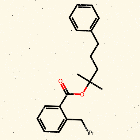 CC(C)Cc1ccccc1C(=O)OC(C)(C)CCCc1ccccc1